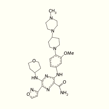 COc1cc(Nc2nc(NC3CCOCC3)c(-c3ccon3)nc2C(N)=O)ccc1N1CCC(N2CCN(C)CC2)CC1